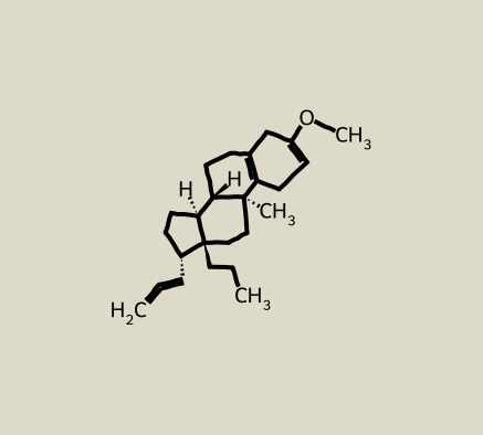 C=C=C[C@@H]1CC[C@H]2[C@@H]3CCC4=C(CC=C(OC)C4)[C@@]3(C)CC[C@]12CCC